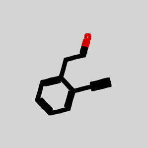 C#Cc1ccccc1CC=O